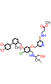 COC(=O)CCNSc1cncc(COc2cc(OCc3cccc(-c4ccc5c(c4)OCCO5)c3C)c(Cl)cc2CNC(C)CO)c1